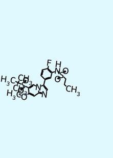 CCCS(=O)(=O)Nc1cc(-c2cnc3cc(OC)c(S(=O)(=O)C(C)(C)C)cn23)ccc1F